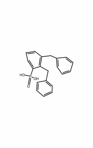 O=P(O)(O)c1cccc(Cc2ccccc2)c1Cc1ccccc1